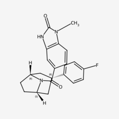 Cn1c(=O)[nH]c2cc(C(=O)N3[C@@H]4CC[C@H]3C[C@@H](c3ccc(F)cc3)C4)ccc21